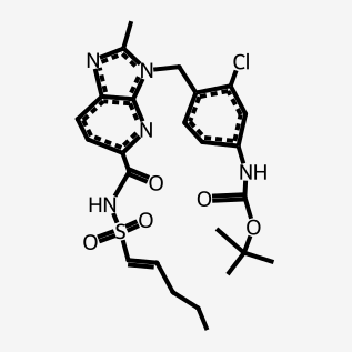 CCCC=CS(=O)(=O)NC(=O)c1ccc2nc(C)n(Cc3ccc(NC(=O)OC(C)(C)C)cc3Cl)c2n1